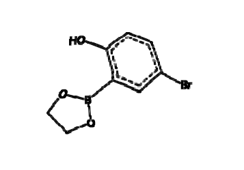 Oc1ccc(Br)cc1B1OCCO1